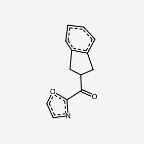 O=C(c1ncco1)C1Cc2ccccc2C1